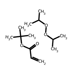 C=CC(=O)OC(C)(C)C.CC(C)OOC(C)C